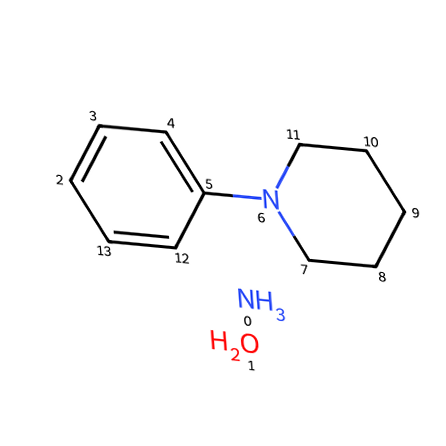 N.O.c1ccc(N2CCCCC2)cc1